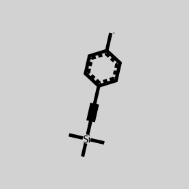 [CH2]c1ccc(C#C[Si](C)(C)C)cc1